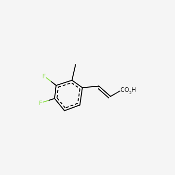 Cc1c(C=CC(=O)O)ccc(F)c1F